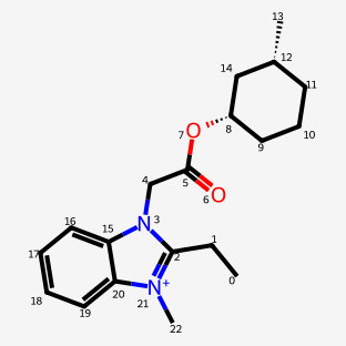 CCc1n(CC(=O)O[C@H]2CCC[C@@H](C)C2)c2ccccc2[n+]1C